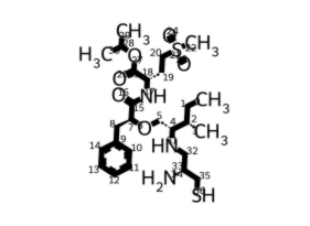 CC[C@H](C)[C@@H](CO[C@@H](Cc1ccccc1)C(=O)N[C@@H](CCS(C)(=O)=O)C(=O)OC(C)C)NC[C@@H](N)CS